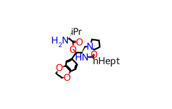 CCCCCCCC(=O)N[C@H](CN1CCCC1)[C@H](OC(=O)[C@H](N)C(C)C)c1ccc2c(c1)OCCO2